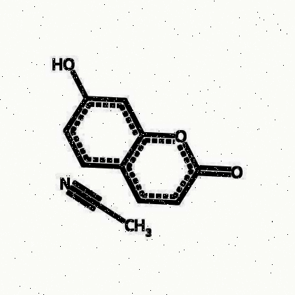 CC#N.O=c1ccc2ccc(O)cc2o1